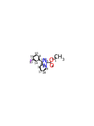 CCOC(=O)c1nc(-c2cccc(I)c2)c2ccccn12